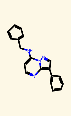 c1ccc(CNc2ccnc3c(-c4ccccc4)cnn23)cc1